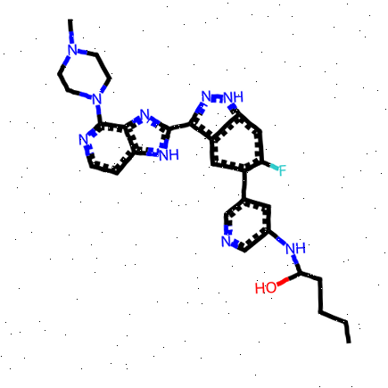 CCCCC(O)Nc1cncc(-c2cc3c(-c4nc5c(N6CCN(C)CC6)nccc5[nH]4)n[nH]c3cc2F)c1